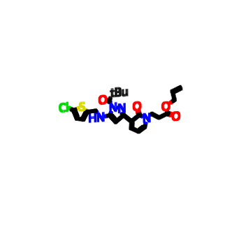 C=CCOC(=O)CCn1cccc(-c2cc(NCc3ccc(Cl)s3)n(C(=O)C(C)(C)C)n2)c1=O